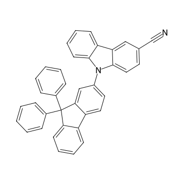 N#Cc1ccc2c(c1)c1ccccc1n2-c1ccc2c(c1)C(c1ccccc1)(c1ccccc1)c1ccccc1-2